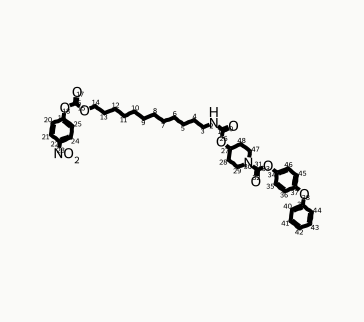 O=C(NCCCCCCCCCCCCOC(=O)Oc1ccc([N+](=O)[O-])cc1)OC1CCN(C(=O)Oc2ccc(Oc3ccccc3)cc2)CC1